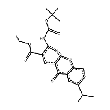 CCOC(=O)c1cc2c(=O)c3cc(C(C)C)ccc3oc2nc1NC(=O)OC(C)(C)C